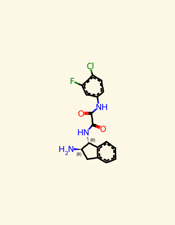 N[C@@H]1Cc2ccccc2[C@H]1NC(=O)C(=O)Nc1ccc(Cl)c(F)c1